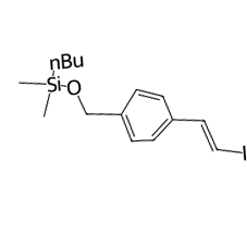 CCCC[Si](C)(C)OCc1ccc(C=CI)cc1